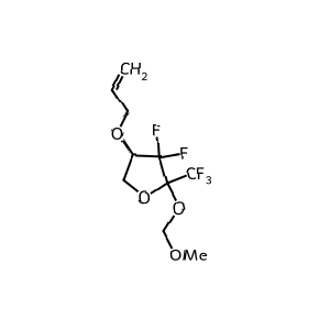 C=CCOC1COC(OCOC)(C(F)(F)F)C1(F)F